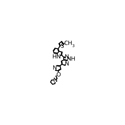 Cc1ccc(-c2cccc3[nH]c(-c4n[nH]c5ncc(-c6cncc(OCCN7CCCC7)c6)cc45)cc23)s1